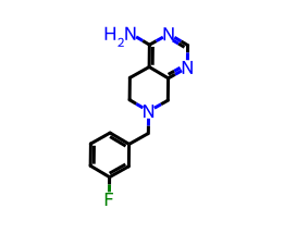 Nc1ncnc2c1CCN(Cc1cccc(F)c1)C2